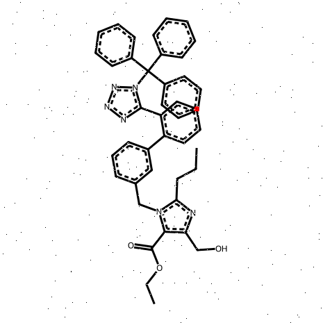 CCCc1nc(CO)c(C(=O)OCC)n1Cc1cccc(-c2ccccc2-c2nnnn2C(c2ccccc2)(c2ccccc2)c2ccccc2)c1